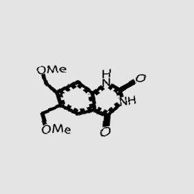 COCc1cc2[nH]c(=O)[nH]c(=O)c2cc1COC